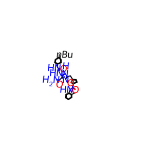 CCCCc1ccc(NC(=O)Nc2[nH]c(Cc3ccc(C(=O)Nc4ccccc4C)o3)nc2C(N)=O)cc1